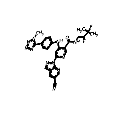 Cn1nnnc1-c1ccc(Nc2cc(-n3ncc4cc(C#N)cnc43)ncc2C(=O)NCC(F)C(C)(C)F)cc1